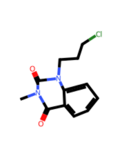 Cn1c(=O)c2ccccc2n(CCCCl)c1=O